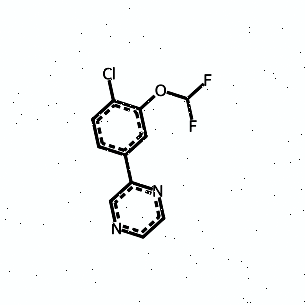 FC(F)Oc1cc(-c2cnccn2)ccc1Cl